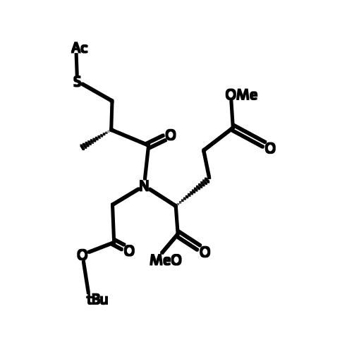 COC(=O)CC[C@H](C(=O)OC)N(CC(=O)OC(C)(C)C)C(=O)[C@H](C)CSC(C)=O